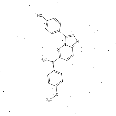 COc1ccc(N(C)c2ccc3ncc(-c4ccc(O)cc4)n3n2)cc1